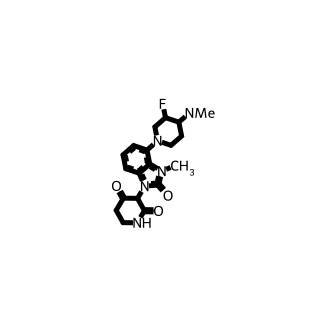 CNC1CCN(c2cccc3c2n(C)c(=O)n3C2C(=O)CCNC2=O)CC1F